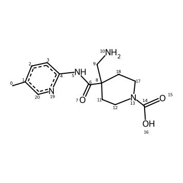 Cc1ccc(NC(=O)C2(CN)CCN(C(=O)O)CC2)nc1